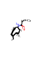 Cc1ccc(NC(=O)CN=O)cc1